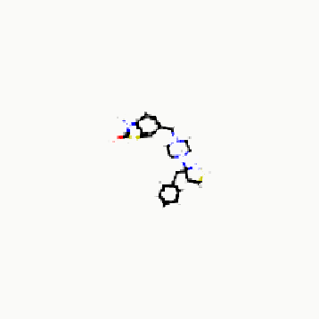 Cn1c(=O)sc2cc(CN3CCN(C4(Cc5ccccc5)C=CSN4)CC3)ccc21